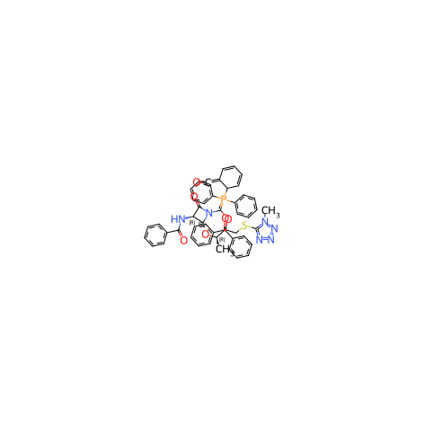 C[C@@H](O[C@@H]1[C@@H](NC(=O)c2ccccc2)C(=O)N1C(OC(c1ccccc1)c1ccccc1)=P(c1ccccc1)(c1ccccc1)C1C=CC=CC1=C=O)C(=O)CSc1nnnn1C